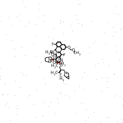 C#Cc1c(F)ccc2cc(OCOC)cc(-c3nc(OC)c4c(N5CC6CCC(C5)N6C(=O)OC(C)(C)C)nc(OCC(CN5CC6CC6C5)=C(C)C)nc4c3F)c12